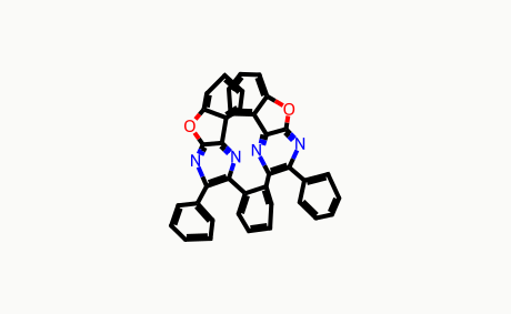 c1ccc(-c2nc3oc4ccccc4c3nc2-c2ccccc2-c2nc3c(nc2-c2ccccc2)oc2ccccc23)cc1